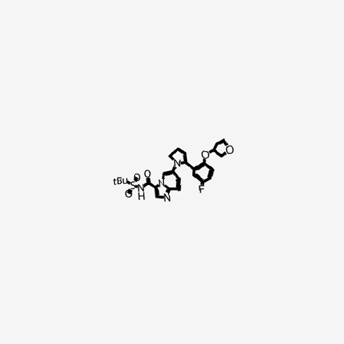 CC(C)(C)S(=O)(=O)NC(=O)c1cnc2ccc(N3CCCC3c3cc(F)ccc3OC3CCOC3)cn12